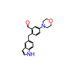 O=Cc1cc(N2CCOCC2)ccc1Cc1ccc2[nH]ccc2c1